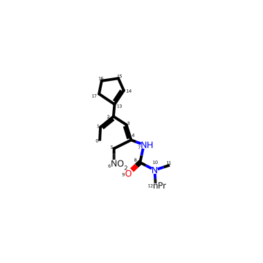 C/C=C(\C=C(/C[N+](=O)[O-])NC(=O)N(C)CCC)C1=CCCC1